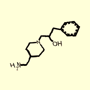 NCC1CCN(CC(O)Cc2ccccc2)CC1